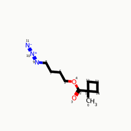 CC1(C(=O)OCCCCN=[N+]=[N-])CCC1